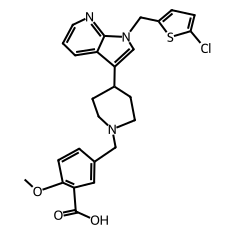 COc1ccc(CN2CCC(c3cn(Cc4ccc(Cl)s4)c4ncccc34)CC2)cc1C(=O)O